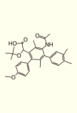 COc1ccc(-c2c(C)c(-c3ccc(C)c(C)c3)c(NC(C)=O)c(C)c2C(OC(C)(C)C)C(=O)O)cc1